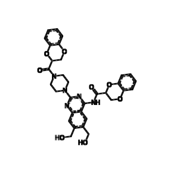 O=C(Nc1nc(N2CCN(C(=O)C3COc4ccccc4O3)CC2)nc2cc(CO)c(CO)cc12)C1COc2ccccc2O1